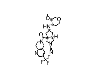 CO[C@@H]1COCC[C@@H]1N[C@@H]1C[C@H]2CN(C#N)C[C@@]2(C(=O)N2CCc3ncc(C(F)(F)F)cc3C2)C1